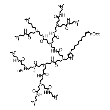 CCCCCCCC/C=C\CCCCCCCCn1cc(CN(CCC(=O)NCCN(CCC(=O)NCCN(CCC)CCC(=O)NCCN(C)C)CCC(=O)NCCN(CCC(=O)NCCN(C)C)CCC(=O)NCCN(C)C)CCC(=O)NCCN(CCC(=O)NCCN(CCCCN(C)C)CCC(=O)NCCN(C)C)CCC(=O)NCCN(CCC(=O)NCCN(C)C)CCC(=O)NCCN(C)C)nn1